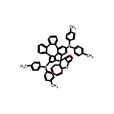 Cc1ccc(N(c2ccc(C)cc2)c2cc3c4c(c2)C2(C5=C(C=CC=CC5)Oc5ccccc52)c2cc(N(c5ccc(C)cc5)c5ccc(C)cc5)cc(c2-4)-c2ccccc2-c2ccccc2-3)cc1